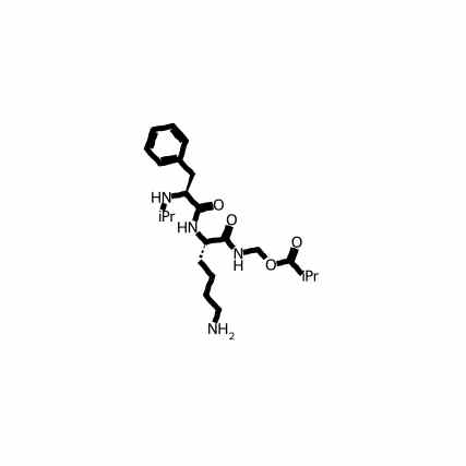 CC(C)N[C@@H](Cc1ccccc1)C(=O)N[C@@H](CCCCN)C(=O)NCOC(=O)C(C)C